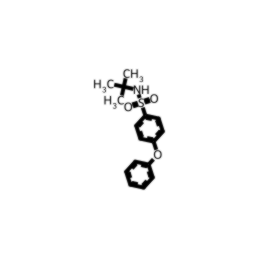 CC(C)(C)NS(=O)(=O)c1ccc(Oc2ccccc2)cc1